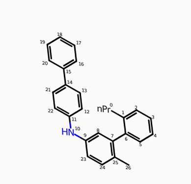 CCCc1ccccc1-c1cc(Nc2ccc(-c3ccccc3)cc2)ccc1C